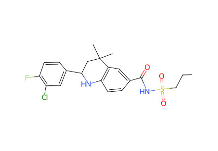 CCCS(=O)(=O)NC(=O)c1ccc2c(c1)C(C)(C)CC(c1ccc(F)c(Cl)c1)N2